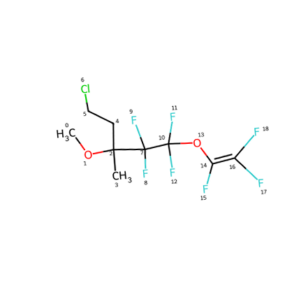 COC(C)(CCCl)C(F)(F)C(F)(F)OC(F)=C(F)F